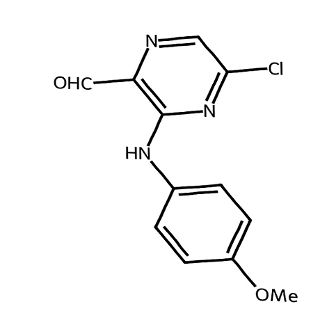 COc1ccc(Nc2nc(Cl)cnc2C=O)cc1